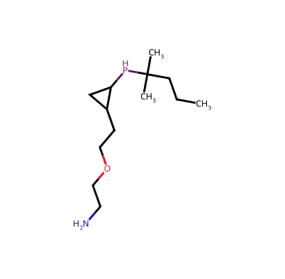 CCCC(C)(C)PC1CC1CCOCCN